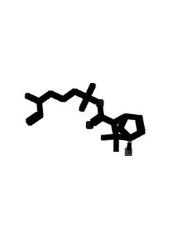 C=CC(C)CCCC(C)(C)OC(=O)C1C2C=C[C@H](C2)C1(C)C